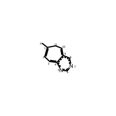 CC1=CC=c2ncncc2=CC1